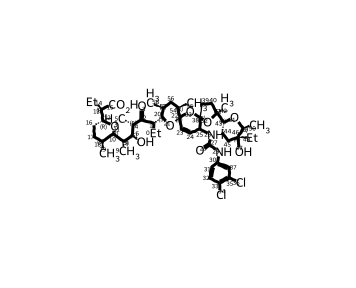 CCC(C(=O)[C@@H](C)[C@@H](O)[C@H](C)[C@@H]1O[C@@H]([C@@H](CC)C(=O)O)CC[C@@H]1C)[C@H]1O[C@]2(C=CC(NC(=O)Nc3ccc(Cl)c(Cl)c3)[C@]3(CC[C@@](C)([C@H]4CC[C@](O)(CC)[C@H](C)O4)O3)O2)[C@H](C)C[C@@H]1C